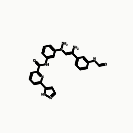 N/C(=C\N(N)c1cccc(NC(=O)c2cccc(-c3ccn[nH]3)n2)c1)c1cccc(NC=O)c1